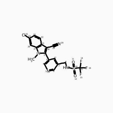 Cn1c(-c2cncc(CNS(=O)(=O)C(F)(F)F)c2)c(C#N)c2ccc(Cl)cc21